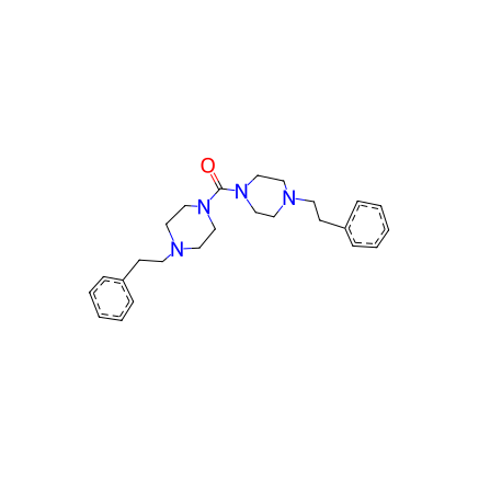 O=C(N1CCN(CCc2ccccc2)CC1)N1CCN(CCc2ccccc2)CC1